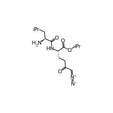 CC(C)C[C@H](N)C(=O)N[C@@H](CCC(=O)C=[N+]=[N-])C(=O)OC(C)C